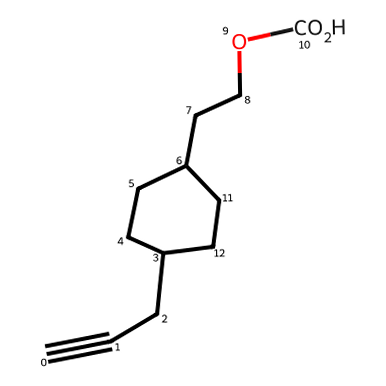 C#CCC1CCC(CCOC(=O)O)CC1